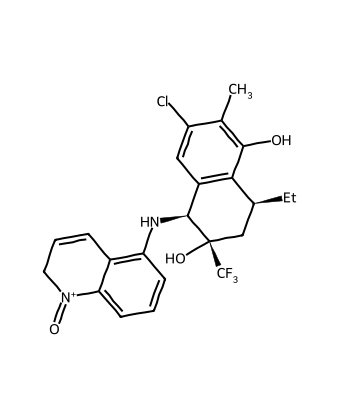 CC[C@H]1C[C@@](O)(C(F)(F)F)[C@@H](Nc2cccc3c2C=CC[N+]3=O)c2cc(Cl)c(C)c(O)c21